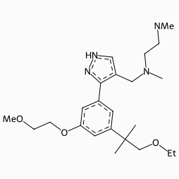 CCOCC(C)(C)c1cc(OCCOC)cc(-c2n[nH]cc2CN(C)CCNC)c1